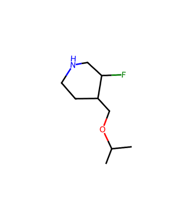 CC(C)OCC1CCNCC1F